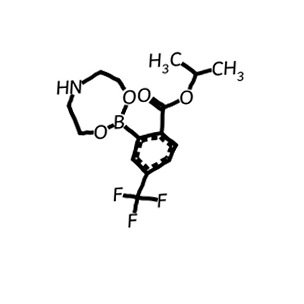 CC(C)OC(=O)c1ccc(C(F)(F)F)cc1B1OCCNCCO1